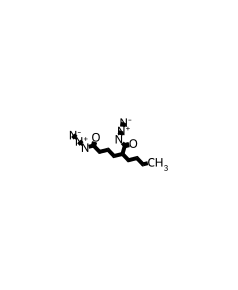 CCCCC(CCCC(=O)N=[N+]=[N-])C(=O)N=[N+]=[N-]